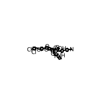 Cc1nc(NC2CCCC2)sc1S(=O)(=O)N1Cc2cc3c(cc2CC1C(=O)NC(Cc1ccc(-c2ccc(C#N)cc2)cc1)C(=O)O)OCC(c1ccc(OCc2ccc(Cl)c(Cl)c2)cc1)O3